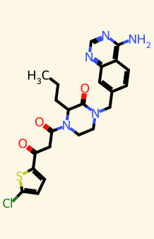 CCCC1C(=O)N(Cc2ccc3c(N)ncnc3c2)CCN1C(=O)CC(=O)c1ccc(Cl)s1